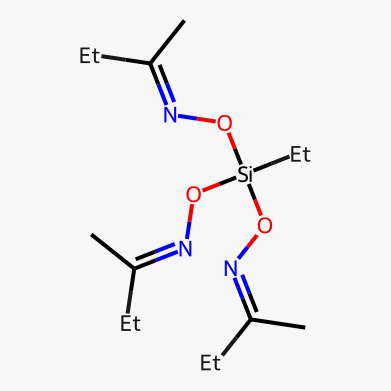 [CH2]C[Si](ON=C(C)CC)(ON=C(C)CC)ON=C(C)CC